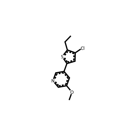 CCc1sc(-c2cncc(OC)c2)cc1Cl